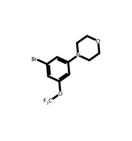 FC(F)(F)Oc1cc(Br)cc(N2CCOCC2)c1